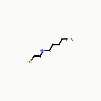 CCCCCN/C=C/S